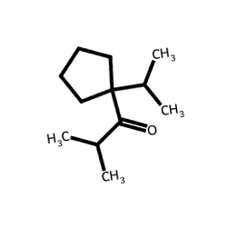 CC(C)C(=O)C1(C(C)C)CCCC1